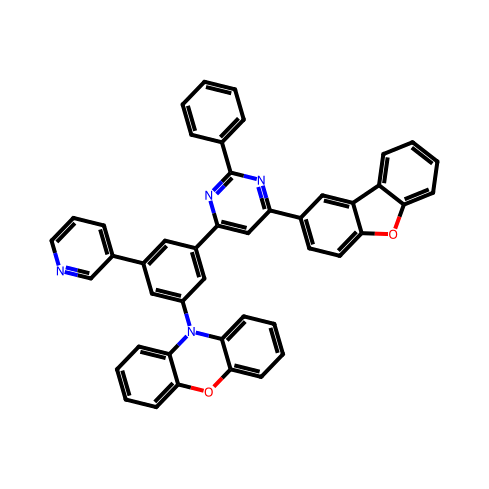 c1ccc(-c2nc(-c3cc(-c4cccnc4)cc(N4c5ccccc5Oc5ccccc54)c3)cc(-c3ccc4oc5ccccc5c4c3)n2)cc1